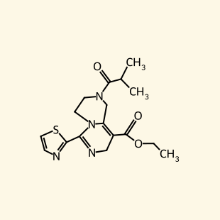 CCOC(=O)C1=C2CN(C(=O)C(C)C)CCN2C(c2nccs2)=NC1